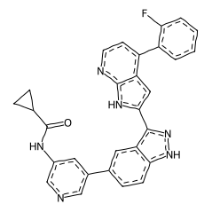 O=C(Nc1cncc(-c2ccc3[nH]nc(-c4cc5c(-c6ccccc6F)ccnc5[nH]4)c3c2)c1)C1CC1